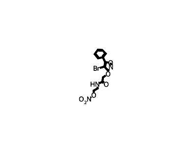 O=C(COc1noc(-c2ccccc2)c1Br)NCCO[N+](=O)[O-]